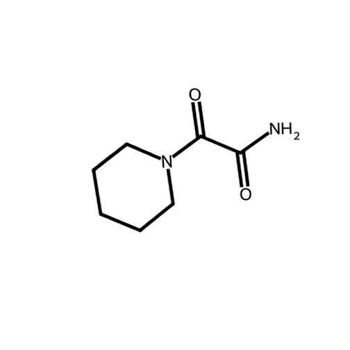 NC(=O)C(=O)N1CCCCC1